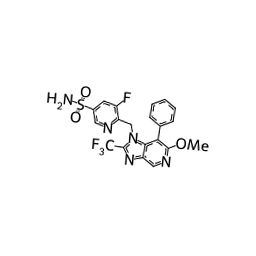 COc1ncc2nc(C(F)(F)F)n(Cc3ncc(S(N)(=O)=O)cc3F)c2c1-c1ccccc1